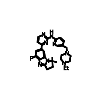 CCN1CCN(Cc2ccc(Nc3nccc(-c4cc(F)c5nc6n(c5c4)C(C)(C)CC6)n3)nc2)CC1